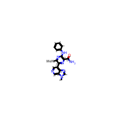 CNc1nc(Nc2ccccc2)c(C(N)=O)nc1-c1cncc2c1ncn2C